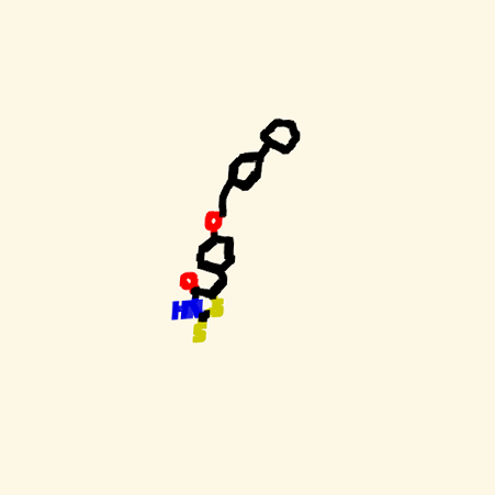 O=C1NC(=S)SC1=Cc1ccc(OCCc2ccc(C3CCCCC3)cc2)cc1